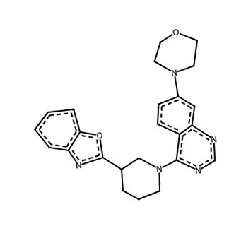 c1ccc2oc(C3CCCN(c4ncnc5cc(N6CCOCC6)ccc45)C3)nc2c1